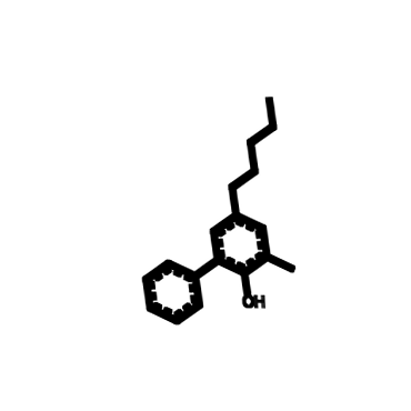 CCCCCc1cc(C)c(O)c(-c2ccccc2)c1